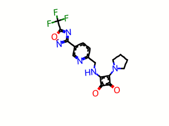 O=c1c(NCc2ccc(-c3noc(C(F)(F)F)n3)cn2)c(N2CCCC2)c1=O